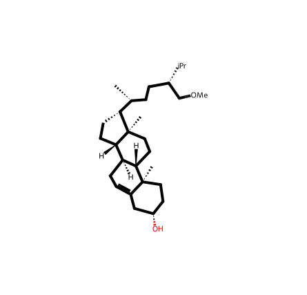 COC[C@H](CC[C@@H](C)[C@H]1CC[C@H]2[C@@H]3CC=C4C[C@@H](O)CC[C@]4(C)[C@H]3CC[C@]12C)C(C)C